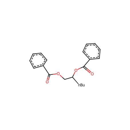 CCCCC(COC(=O)c1ccccc1)OC(=O)c1ccccc1